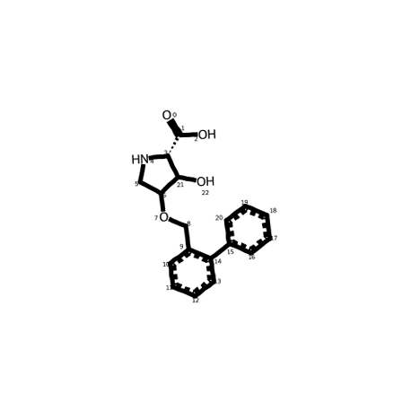 O=C(O)[C@H]1NCC(OCc2ccccc2-c2ccccc2)C1O